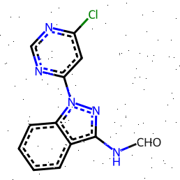 O=CNc1nn(-c2cc(Cl)ncn2)c2ccccc12